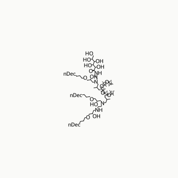 CCCCCCCCCCCCCOCC(O)CNCCN(CC(C)C[Si](C)(O[Si](C)(C)C)O[Si](C)(CC(C)CN(CCNC(=O)C(O)C(O)C(O)C(O)CO)CC(O)COCCCCCCCCCCCCC)O[Si](C)(C)O[Si](C)(C)C)CC(O)COCCCCCCCCCCCCC